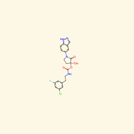 O=C(NCCc1cc(F)cc(Cl)c1)OC1(O)CCN(c2ccc3[nH]ncc3c2)C1=O